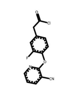 N#Cc1cccnc1Oc1ccc(CC(=O)Cl)cc1F